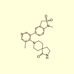 CN1c2ccc(-c3cncc(I)c3N3CCC4(CCNC4=O)CC3)cc2CS1(=O)=O